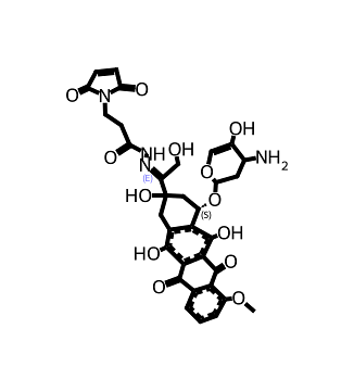 COc1cccc2c1C(=O)c1c(O)c3c(c(O)c1C2=O)CC(O)(/C(CO)=N/NC(=O)CCN1C(=O)C=CC1=O)C[C@@H]3OC1CC(N)C(O)=CO1